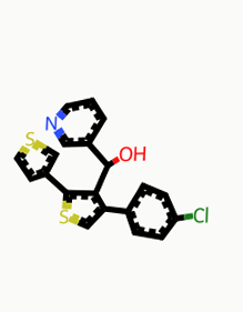 OC(c1cccnc1)c1c(-c2ccc(Cl)cc2)csc1-c1ccsc1